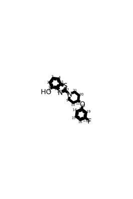 Oc1cccc2sc(N3CCC(Oc4cccc(F)c4)CC3)nc12